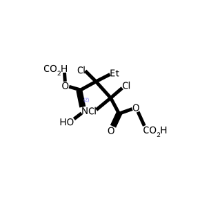 CCC(Cl)(/C(=N/O)OC(=O)O)C(Cl)(Cl)C(=O)OC(=O)O